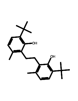 Cc1ccc(C(C)(C)C)c(O)c1CCc1c(C)ccc(C(C)(C)C)c1O